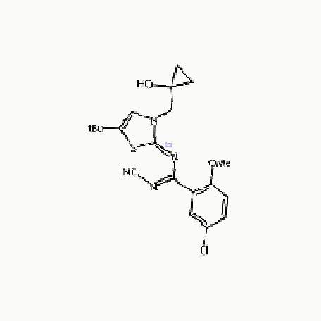 COc1ccc(Cl)cc1C(=NC#N)/N=c1\sc(C(C)(C)C)cn1CC1(O)CC1